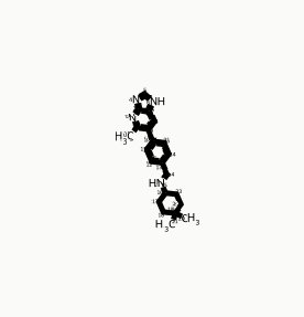 Cc1nc2nc[nH]c2cc1-c1ccc(CNC2CCC(C)(C)CC2)cc1